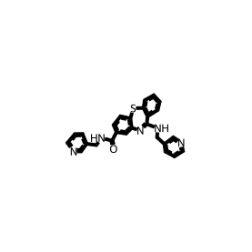 O=C(NCc1cccnc1)c1ccc2c(c1)N=C(NCc1cccnc1)c1ccccc1S2